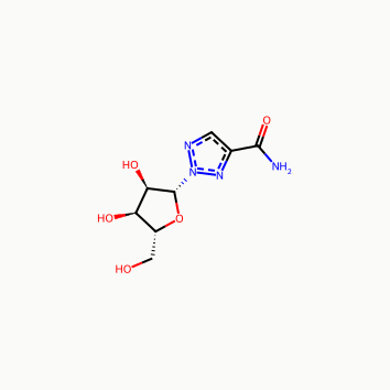 NC(=O)c1cnn([C@@H]2O[C@H](CO)[C@@H](O)[C@H]2O)n1